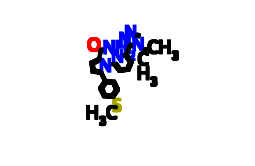 CSc1ccc(-c2ccc(C(N)=O)n2-c2cccc(-c3nncn3C(C)C)n2)cc1